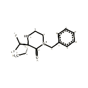 CC[C@]1(C(F)F)NCCN(Cc2ccccc2)C1=O